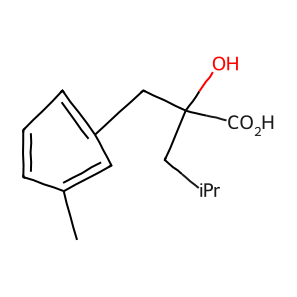 Cc1cccc(CC(O)(CC(C)C)C(=O)O)c1